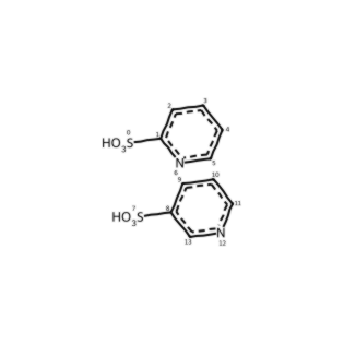 O=S(=O)(O)c1ccccn1.O=S(=O)(O)c1cccnc1